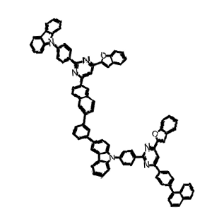 c1cc(-c2ccc3cc(-c4cc(-c5cc6ccccc6o5)nc(-c5ccc(-n6c7ccccc7c7ccccc76)cc5)n4)ccc3c2)cc(-c2ccc3c(c2)c2ccccc2n3-c2ccc(-c3nc(-c4ccc(-c5cccc6ccccc56)cc4)cc(-c4cc5ccccc5o4)n3)cc2)c1